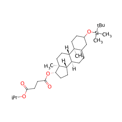 CC(C)OC(=O)CCC(=O)O[C@H]1CC[C@H]2[C@@H]3CC=C4CC(O[Si](C)(C)C(C)(C)C)CC[C@]4(C)[C@H]3CC[C@]12C